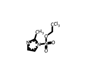 Cc1nccn1S(=O)(=O)OCC(Cl)(Cl)Cl